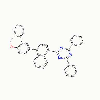 c1ccc(-c2nc(-c3ccccc3)nc(-c3ccc(-c4ccc5c(c4)-c4ccccc4CO5)c4ccccc34)n2)cc1